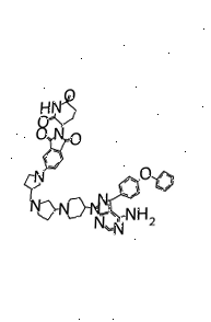 Nc1ncnc2c1c(-c1ccc(Oc3ccccc3)cc1)nn2C1CCN(C2CCN(CC3CCN(c4ccc5c(c4)C(=O)N(C4CCC(=O)NC4=O)C5=O)C3)C2)CC1